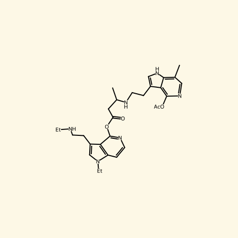 CCNCCc1cn(CC)c2ccnc(OC(=O)CC(C)NCCc3c[nH]c4c(C)cnc(OC(C)=O)c34)c12